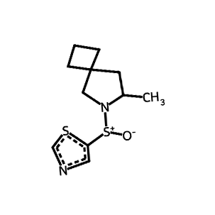 CC1CC2(CCC2)CN1[S+]([O-])c1cncs1